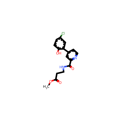 COC(=O)CCNC(=O)c1cc(-c2cc(Cl)ccc2O)ccn1